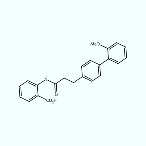 COc1ccccc1-c1ccc(CCC(=O)Nc2ccccc2C(=O)O)cc1